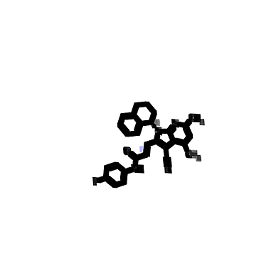 Cc1cc(C)c2c(C#N)c(/C=C/C(=O)Nc3ccc(F)cc3)n([C@H]3CCCc4ccccc43)c2n1